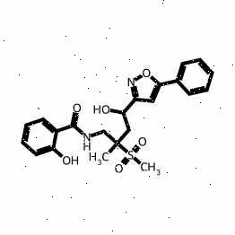 CC(CNC(=O)c1ccccc1O)(CC(O)c1cc(-c2ccccc2)on1)S(C)(=O)=O